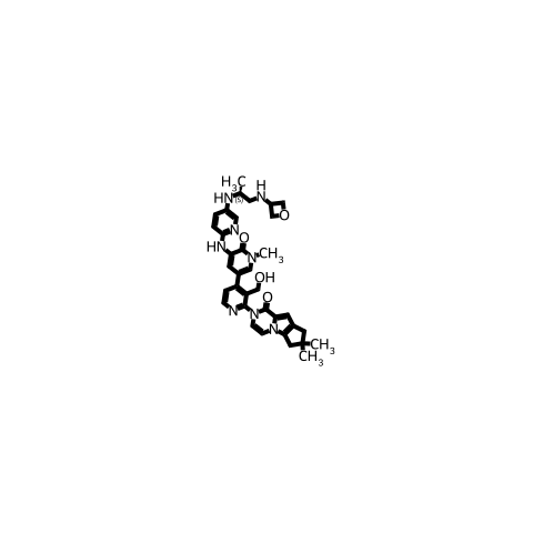 C[C@@H](CNC1COC1)Nc1ccc(Nc2cc(-c3ccnc(-n4ccn5c6c(cc5c4=O)CC(C)(C)C6)c3CO)cn(C)c2=O)nc1